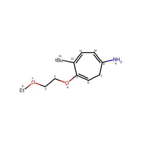 CCOCCOC1=CCC(N)=CC=C1C(C)(C)C